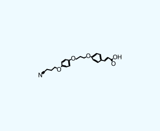 N#CCCCOc1ccc(OCCCOc2ccc(/C=C/C(=O)O)cc2)cc1